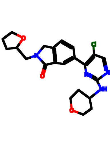 O=C1c2cc(-c3nc(NC4CCOCC4)ncc3Cl)ccc2CN1CC1CCCO1